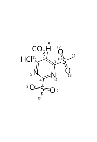 CS(=O)(=O)c1ncc(C(=O)O)c(S(C)(=O)=O)n1.Cl